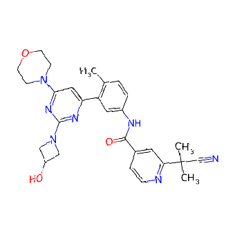 Cc1ccc(NC(=O)c2ccnc(C(C)(C)C#N)c2)cc1-c1cc(N2CCOCC2)nc(N2CC(O)C2)n1